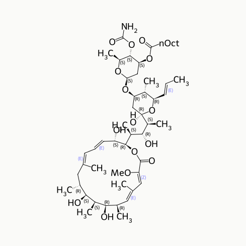 C/C=C/[C@H]1O[C@@](O)([C@@H](C)[C@H](O)[C@H](C)[C@H]2OC(=O)/C(OC)=C/C(C)=C/[C@@H](C)[C@@H](O)[C@@H](C)[C@@H](O)[C@H](C)C/C(C)=C/C=C/[C@@H]2O)C[C@@H](O[C@@H]2C[C@H](OC(=O)CCCCCCCC)[C@@H](OC(N)=O)[C@H](C)O2)[C@@H]1C